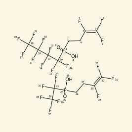 O=P(O)(CCC(F)=C(F)F)C(F)(F)C(F)(F)C(F)(F)C(F)(F)F.O=P(O)(CCC(F)=C(F)F)C(F)(F)C(F)(F)F